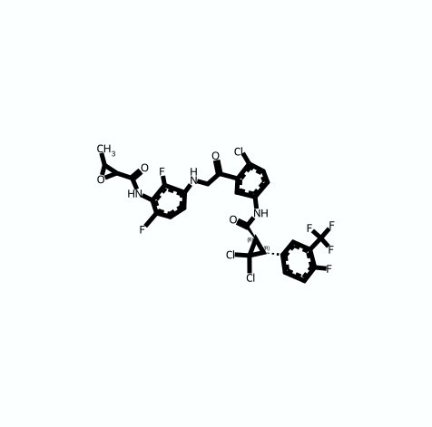 CC1OC1C(=O)Nc1c(F)ccc(NCC(=O)c2cc(NC(=O)[C@H]3[C@H](c4ccc(F)c(C(F)(F)F)c4)C3(Cl)Cl)ccc2Cl)c1F